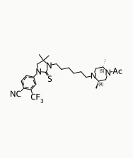 CC(=O)N1C[C@@H](C)N(CCCCCCN2C(=S)N(c3ccc(C#N)c(C(F)(F)F)c3)CC2(C)C)C[C@@H]1C